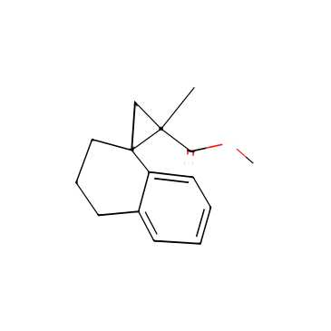 COC(=O)C1(C)CC12CCCc1ccccc12